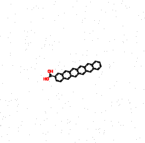 OB(O)c1ccc2cc3cc4cc5cc6ccccc6cc5cc4cc3cc2c1